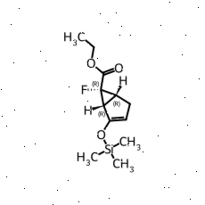 CCOC(=O)[C@@]1(F)[C@@H]2CC=C(O[Si](C)(C)C)[C@@H]21